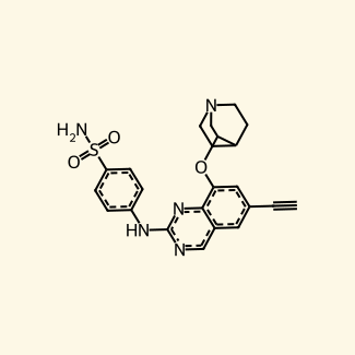 C#Cc1cc(OC2CN3CCC2CC3)c2nc(Nc3ccc(S(N)(=O)=O)cc3)ncc2c1